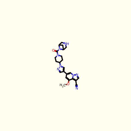 COc1cc(-c2cnn(C3CCN(C(=O)N4C5CNCC4C5)CC3)c2)cn2ncc(C#N)c12